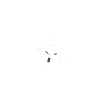 O.O.O=[N+]([O-])O.[U]